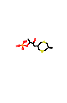 C=C1CSCC(CC(=O)C(C)OP(=O)(O)O)CSC1